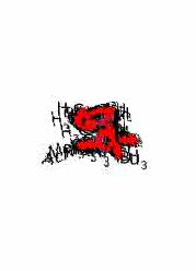 CC[C@H](C)[C@H]1O[C@]2(C=C[C@@H]1C)C[C@@H]1C[C@@H](C/C=C(\C)[C@@H](O[C@H]3C[C@H](OC)[C@@H](O[C@H]4C[C@H](OC)[C@H](NC(C)=O)[C@H](C)O4)[C@H](C)O3)[C@@H](C)/C=C/C=C3\CO[C@@H]4[C@H](O)C(C)=C[C@@H](C(=O)O1)[C@]34O)O2.CO[C@H]1C[C@H](O[C@H]2[C@H](C)O[C@@H](O[C@@H]3/C(C)=C/C[C@@H]4C[C@@H](C[C@]5(C=C[C@H](C)[C@@H](C(C)C)O5)O4)OC(=O)[C@@H]4C=C(C)[C@@H](O)[C@H]5OC/C(=C\C=C\[C@@H]3C)[C@]54O)C[C@@H]2OC)O[C@@H](C)[C@H]1NC(C)=O.c1ccc([C@H]2CN3CCSC3=N2)cc1